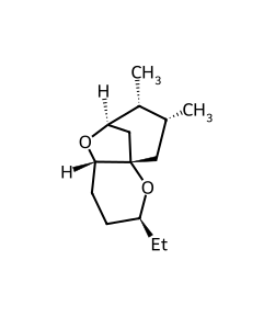 CC[C@H]1CC[C@@H]2O[C@@H]3C[C@]2(C[C@@H](C)[C@H]3C)O1